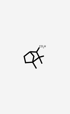 CC12CCC(C1)C(C(=O)O)C2(C)C